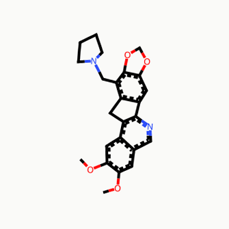 COc1cc2cnc3c(c2cc1OC)Cc1c-3cc2c(c1CN1CCCC1)OCO2